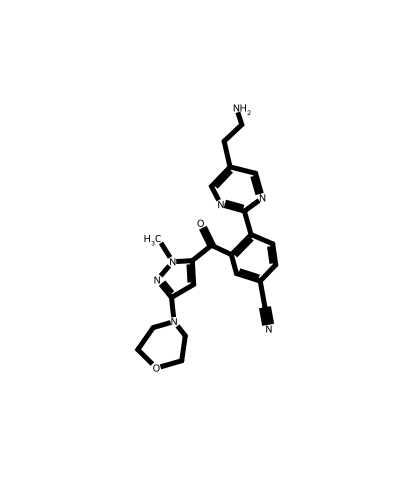 Cn1nc(N2CCOCC2)cc1C(=O)c1cc(C#N)ccc1-c1ncc(CCN)cn1